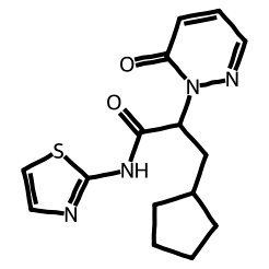 O=C(Nc1nccs1)C(CC1CCCC1)n1ncccc1=O